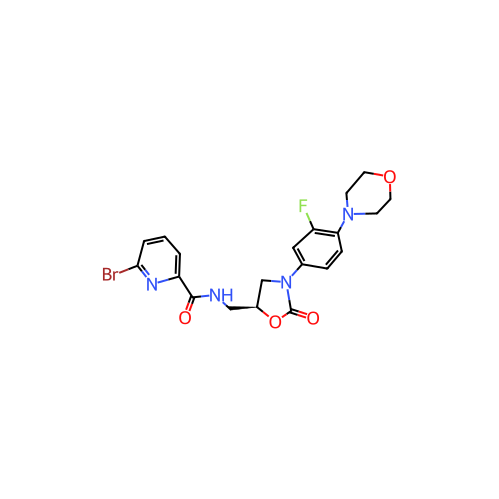 O=C(NC[C@H]1CN(c2ccc(N3CCOCC3)c(F)c2)C(=O)O1)c1cccc(Br)n1